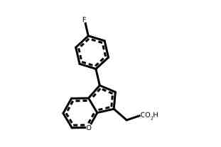 O=C(O)Cc1cc(-c2ccc(F)cc2)c2cccoc1-2